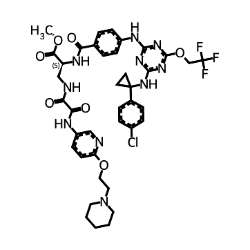 COC(=O)[C@H](CNC(=O)C(=O)Nc1ccc(OCCN2CCCCC2)nc1)NC(=O)c1ccc(Nc2nc(NC3(c4ccc(Cl)cc4)CC3)nc(OCC(F)(F)F)n2)cc1